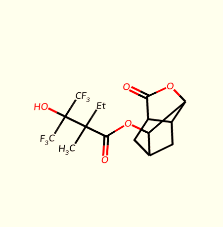 CCC(C)(C(=O)OC1C2CC3C(=O)OC1C3C2)C(O)(C(F)(F)F)C(F)(F)F